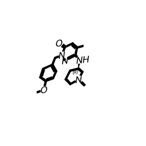 COc1ccc(Cn2nc(N[C@@H]3CCCN(C)C3)c(C)cc2=O)cc1